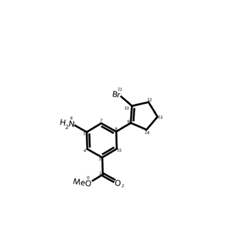 COC(=O)c1cc(N)cc(C2=C(Br)CCC2)c1